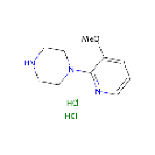 COc1cccnc1N1CCNCC1.Cl.Cl